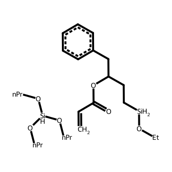 C=CC(=O)OC(CC[SiH2]OCC)Cc1ccccc1.CCCO[SiH](OCCC)OCCC